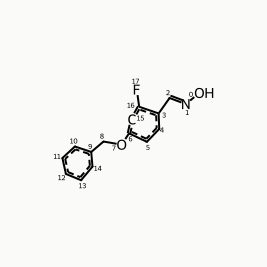 ON=Cc1ccc(OCc2ccccc2)cc1F